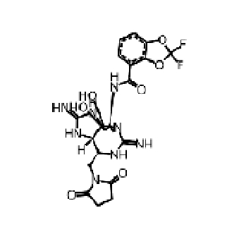 N=C1N[C@H]2[C@H](CN3C(=O)CCC3=O)NC(=N)N3C[C@H](NC(=O)c4cccc5c4OC(F)(F)O5)C(O)(O)[C@]23N1